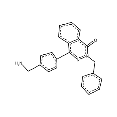 NCc1ccc(-c2nn(Cc3ccccc3)c(=O)c3ccccc23)cc1